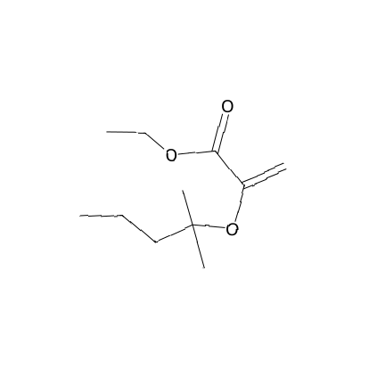 C=C(OC(C)(C)CCC)C(=O)OCC